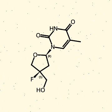 Cc1cn([C@H]2C[C@](F)(CO)CO2)c(=O)[nH]c1=O